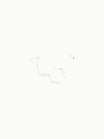 N#CC1=CC=CC(=CC2CC2)C1